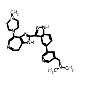 CN(C)Cc1cncc(-c2ccc3[nH]nc(-c4nc5c([nH]4)CC=NC=C5N4CCN(C)CC4)c3c2)c1